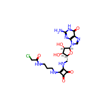 Nc1nc2c(ncn2[C@H]2O[C@H](CNc3c(NCCCNC(=O)CCl)c(=O)c3=O)[C@@H](O)[C@H]2O)c(=O)[nH]1